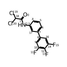 O=C(Nc1cccc(-c2cc(F)c(F)c(F)c2)c1)C(Cl)Cl